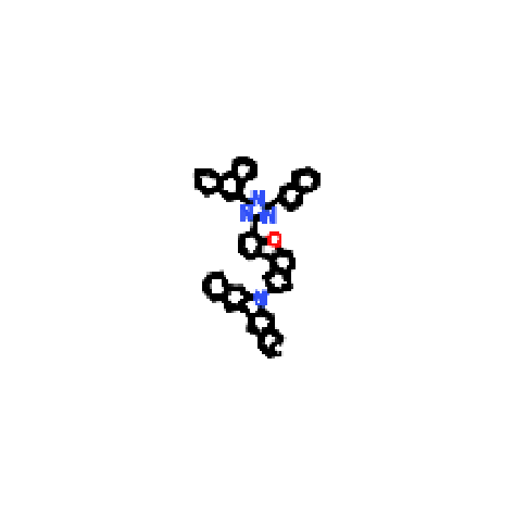 c1ccc2cc(-c3nc(-c4cc5ccccc5c5ccccc45)nc(-c4cccc5c4oc4ccc6ccc(-n7c8cc9ccccc9cc8c8cc9ccccc9cc87)cc6c45)n3)ccc2c1